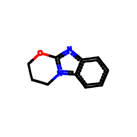 c1ccc2c(c1)nc1n2CCCO1